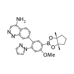 COc1cc(-n2cccn2)c(-c2ccc3c(N)cnnc3c2)cc1B1O[C@]2(C)CCC[C@]2(C)O1